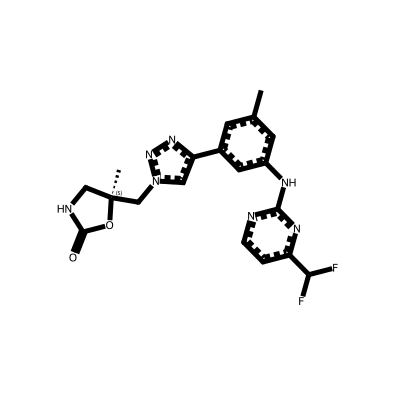 Cc1cc(Nc2nccc(C(F)F)n2)cc(-c2cn(C[C@]3(C)CNC(=O)O3)nn2)c1